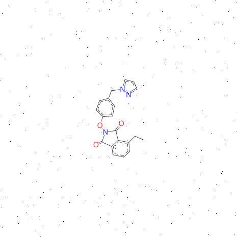 CCc1cccc2c1C(=O)N(Oc1ccc(Cn3cccn3)cc1)C2=O